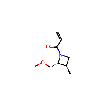 C=CC(=O)N1C[C@@H](C)[C@@H]1COC